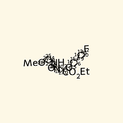 CCOC(=O)C1(COc2ccc(-c3ccc(F)cc3)cc2)CCN(C(=O)Nc2cccc(OC)c2)C1